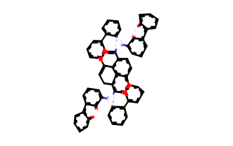 C1=C2CC=C(N(c3ccccc3-c3ccccc3)c3cccc4c3oc3ccccc34)c3ccc4ccc(N(c5ccccc5-c5ccccc5)c5cccc6c5oc5ccccc56)c(c4c32)C1